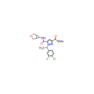 CNC(=O)c1cc(C(=O)NC2C3COCC32)n(C(C)c2ccc(Cl)c(F)c2)n1